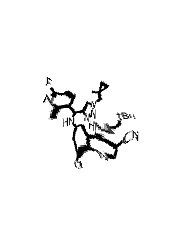 Cc1nc(F)ccc1C(Nc1cc(Cl)c2ncc(C#N)c(NCC(C)(C)C)c2c1)c1cn(CC2(C)CC2)nn1